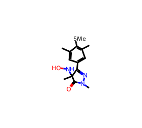 CSc1c(C)cc(C2=NN(C)C(=O)C2(C)NO)cc1C